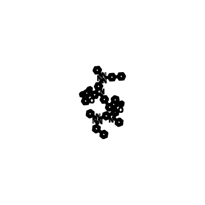 c1ccc(-c2ccc(-c3nc(-c4ccccc4)nc(-c4ccc5c(c4)nc(-c4ccc(-c6cccc7c6-c6ccccc6C76c7ccccc7Oc7cc8c(-c9ccccc9)nc9cc(-c%10nc(-c%11ccccc%11)nc(-c%11cccc(-c%12ccccc%12)c%11)n%10)ccc9c8cc76)cc4)c4cc6c(cc45)C4(c5ccccc5O6)c5ccccc5-c5ccccc54)n3)cc2)cc1